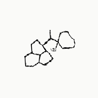 CC(C1CCC2CCCC3CCC1C32)C1(C(C)(C)C)CCCCC1